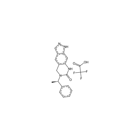 C[C@H](c1ccccc1)N1Cc2cc3cn[nH]c3cc2NC1=O.O=C(O)C(F)(F)F